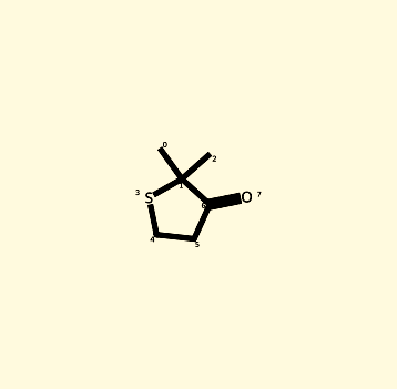 CC1(C)SCCC1=O